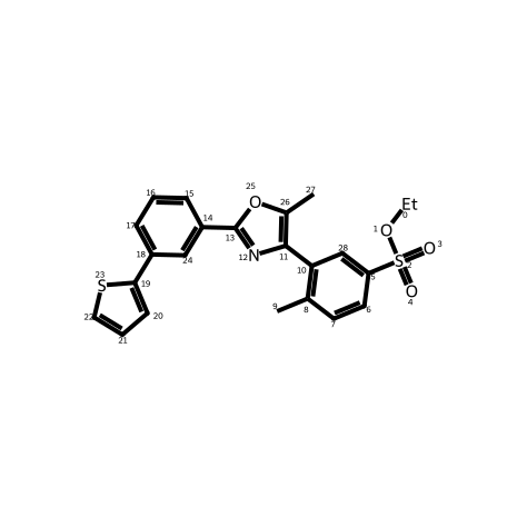 CCOS(=O)(=O)c1ccc(C)c(-c2nc(-c3cccc(-c4cccs4)c3)oc2C)c1